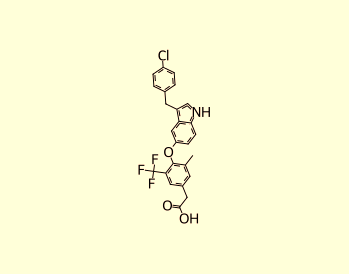 Cc1cc(CC(=O)O)cc(C(F)(F)F)c1Oc1ccc2[nH]cc(Cc3ccc(Cl)cc3)c2c1